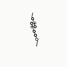 CCCCCC1CCC(c2ccc(-c3ccc(Sc4cccc5c4C(=O)c4cccc(Sc6ccc(CCCC)cc6)c4C5=O)cc3)cc2)CC1